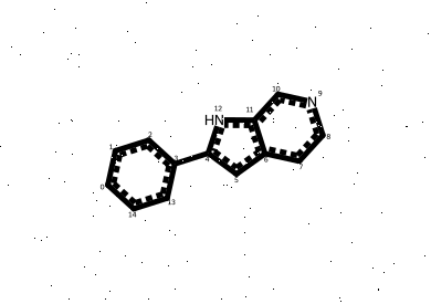 c1ccc(-c2cc3ccncc3[nH]2)cc1